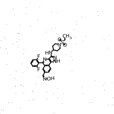 CCS(=O)(=O)N1CCC(Nc2n[nH]c3c2nc(-c2c(F)cccc2F)c2cc(/C=N\O)ccc23)CC1